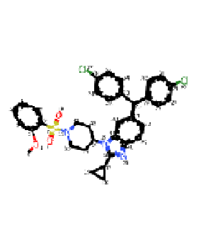 COc1ccccc1S(=O)(=O)N1CCC(n2c(C3CC3)nc3ccc(C(c4ccc(Cl)cc4)c4ccc(Cl)cc4)cc32)CC1